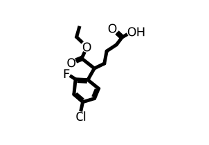 CCOC(=O)C(CCCC(=O)O)c1ccc(Cl)cc1F